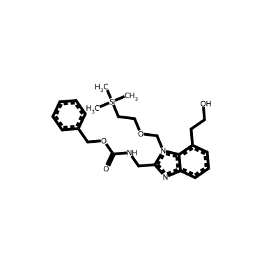 C[Si](C)(C)CCOCn1c(CNC(=O)OCc2ccccc2)nc2cccc(CCO)c21